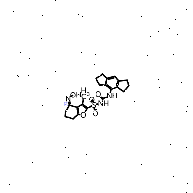 Cc1c(S(=O)(=O)NC(=O)Nc2c3c(cc4c2CCC4)CCC3)oc2c1/C(=N\O)CCC2